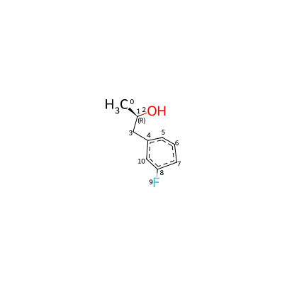 C[C@@H](O)Cc1cccc(F)c1